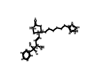 O=C1CN(CCCCCCc2nn[nH]n2)[C@@H](C=C[C@@H](O)C(F)(F)c2ccccc2)CN1